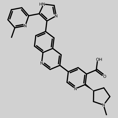 Cc1cccc(-c2[nH]cnc2-c2ccc3ncc(-c4cnc([C@H]5CCN(C)C5)c(C(=O)O)c4)cc3c2)n1